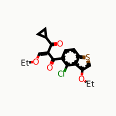 CCO/C=C(\C(=O)c1ccc2scc(OCC)c2c1Cl)C(=O)C1CC1